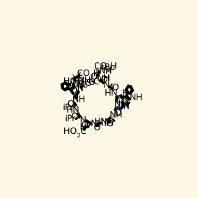 CC(C)C[C@@H]1NC(=O)/C(=C/c2c[nH]cn2)NC(=O)[C@H](CCc2c[nH]c3ccccc23)NC(=O)[C@H](C)NC(=O)[C@@H](NC(=O)[C@H](CC(=O)O)NC(C)(C)C)CSSC[C@@H](C(=O)N[C@H](C(=O)O)[C@@H](C)O)NC(=O)[C@H](Cc2c[nH]c3ccccc23)NC(=O)[C@H](C(C)C)NC(=O)[C@H](CC(C)C)NC(=O)[C@H](CCC(=O)O)NC(=O)CNC1=O